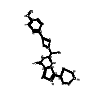 CCOc1ccc(C2CN(C(C)c3nn4c(C5CCOCC5)ncc4c(=O)[nH]3)C2)cc1